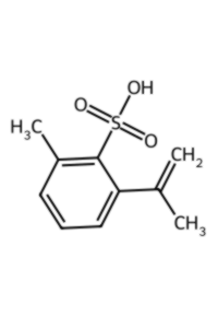 C=C(C)c1cccc(C)c1S(=O)(=O)O